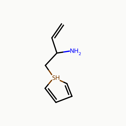 C=CC(N)C[SH]1C=CC=C1